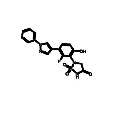 O=C1CN(c2c(O)ccc(-c3cnn(-c4ccccc4)c3)c2F)S(=O)(=O)N1